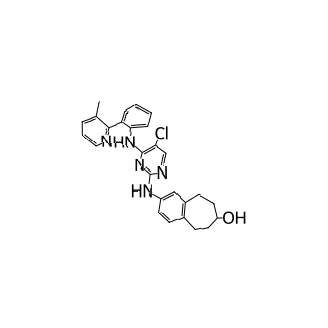 Cc1cccnc1-c1ccccc1Nc1nc(Nc2ccc3c(c2)CCC(O)CC3)ncc1Cl